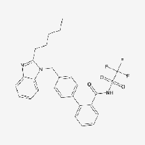 CCCCCc1nc2ccccc2n1Cc1ccc(-c2ccccc2C(=O)NS(=O)(=O)C(F)(F)F)cc1